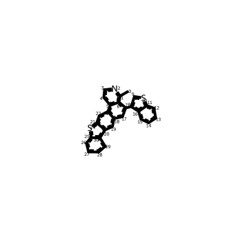 Cc1nccc2c1c(-c1csc3ccccc13)cc1cc3c(cc12)sc1ccccc13